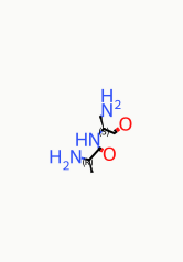 C[C@@H](N)C(=O)N[C@H](C=O)CN